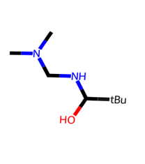 CN(C)CNC(O)C(C)(C)C